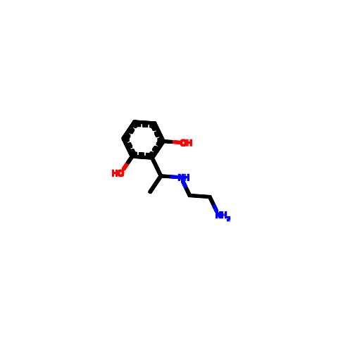 CC(NCCN)c1c(O)cccc1O